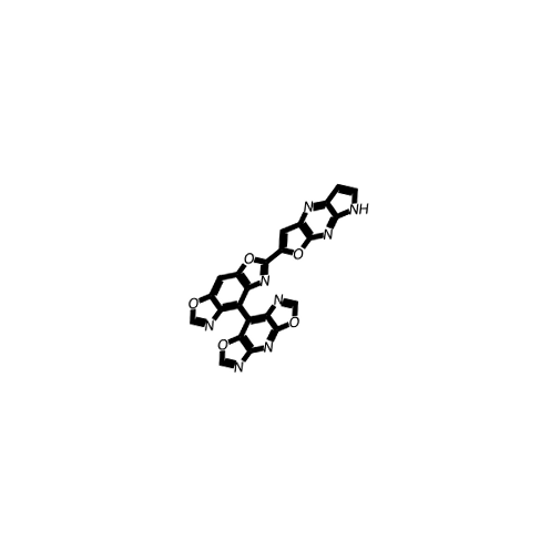 c1cc2nc3cc(-c4nc5c(-c6c7ncoc7nc7ncoc67)c6ncoc6cc5o4)oc3nc2[nH]1